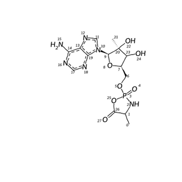 CC1NP(=O)(OC[C@H]2O[C@@H](n3cnc4c(N)ncnc43)[C@@](C)(O)C2O)OC1=O